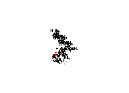 CCCCCCCC(=O)[O-].CCCCCCCC(=O)[O-].Cc1cccc(P(c2cccc(C)c2)c2cccc(C)c2)c1.Cc1cccc(P(c2cccc(C)c2)c2cccc(C)c2)c1.Cc1cccc(P(c2cccc(C)c2)c2cccc(C)c2)c1.Cc1cccc(P(c2cccc(C)c2)c2cccc(C)c2)c1.[Co+2]